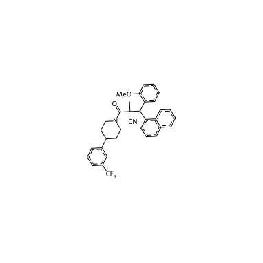 COc1ccccc1C(c1cccc2ccccc12)[C@@](C)(C#N)C(=O)N1CCC(c2cccc(C(F)(F)F)c2)CC1